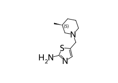 C[C@H]1CCCN(Cc2cnc(N)s2)C1